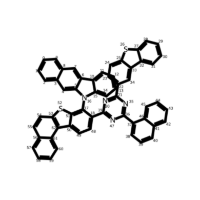 c1ccc2cc3c(cc2c1)c1ccccc1n3-c1c(-c2nc(-c3ccc4sc5ccccc5c4c3)nc(-c3cccc4ccccc34)n2)ccc2c1sc1ccc3ccccc3c12